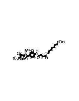 CCCCCCCCCCCCCCCCCOC(=O)CCC(=O)Nc1ccc(-c2nn3nc(C(C)(C)C)c(Cl)c3[nH]2)c(OC)c1